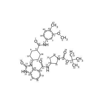 COc1cc(NC(=O)C2CCC(n3c(=O)[nH]c4cccc(C(=O)NC5CCN(C(=O)OC(C)(C)C)C5)c43)CC2)ccc1C